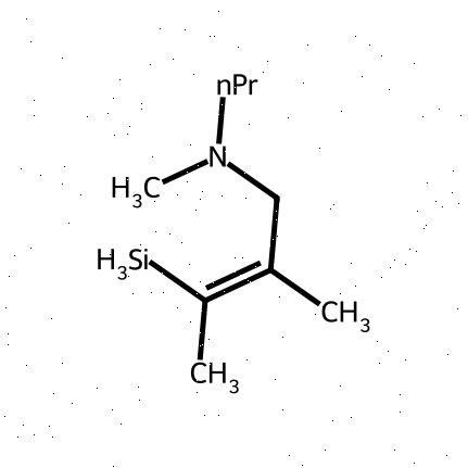 CCCN(C)CC(C)=C(C)[SiH3]